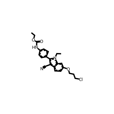 CCOC(=O)Nc1ccc(-c2c(C#N)c3ccc(OCCCCl)cc3n2CC)cc1